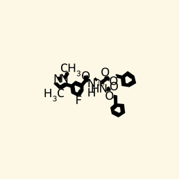 CCn1ncc(C)c1-c1cc(F)cc(C(=O)NC[C@@H](NC(=O)OCc2ccccc2)C(=O)OCc2ccccc2)c1